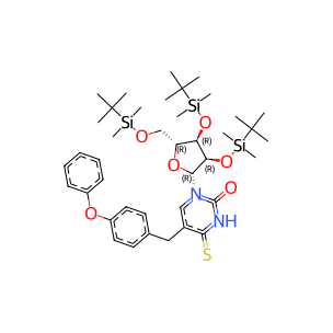 CC(C)(C)[Si](C)(C)OC[C@H]1O[C@@H](n2cc(Cc3ccc(Oc4ccccc4)cc3)c(=S)[nH]c2=O)[C@H](O[Si](C)(C)C(C)(C)C)[C@@H]1O[Si](C)(C)C(C)(C)C